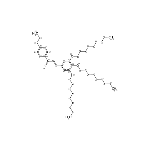 CCCCCCCCCOc1cc(C=CC(=S)c2ccc(CCC)cc2)cc(OCCCCCCCCC)c1OCCCCCCCCC